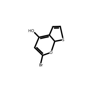 OC1=C2[C]=CSC2OC(Br)=C1